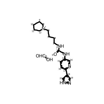 O=C(NCCCCN1CCCCC1)Nc1ccc(-c2cn[nH]c2)nc1.O=CO